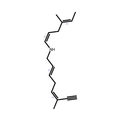 C#C/C(C)=C\C/C=C/CN/C=C\C/C(C)=C/C